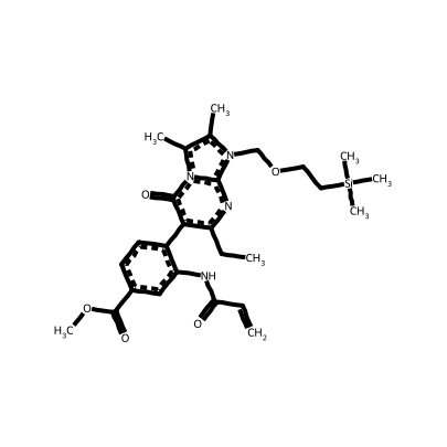 C=CC(=O)Nc1cc(C(=O)OC)ccc1-c1c(CC)nc2n(COCC[Si](C)(C)C)c(C)c(C)n2c1=O